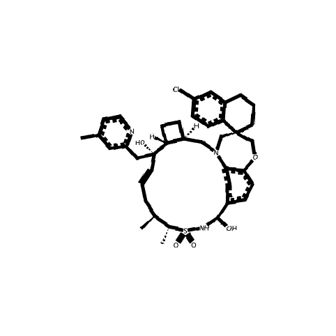 Cc1ccnc(C[C@]2(O)/C=C/C[C@H](C)[C@@H](C)S(=O)(=O)NC(O)c3ccc4c(c3)N(C[C@@H]3CC[C@H]32)C[C@@]2(CCCc3cc(Cl)ccc32)CO4)c1